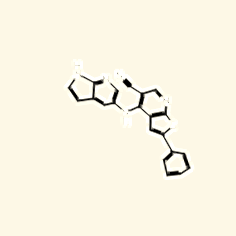 N#Cc1cnc2sc(-c3ccccc3)cc2c1Nc1cnc2[nH]ccc2c1